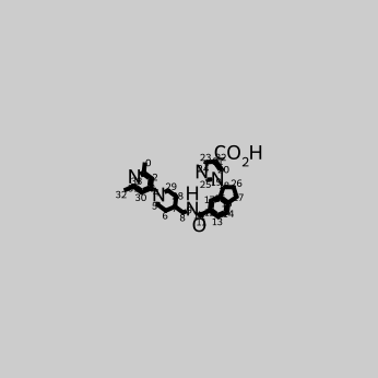 Cc1cc(N2CCC(CNC(=O)c3ccc4c(c3)C(N3C=C(C(=O)O)C=NC3)CC4)CC2)cc(C)n1